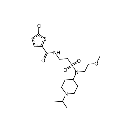 COCCN(C1CCN(C(C)C)CC1)S(=O)(=O)CCNC(=O)c1ccc(Cl)s1